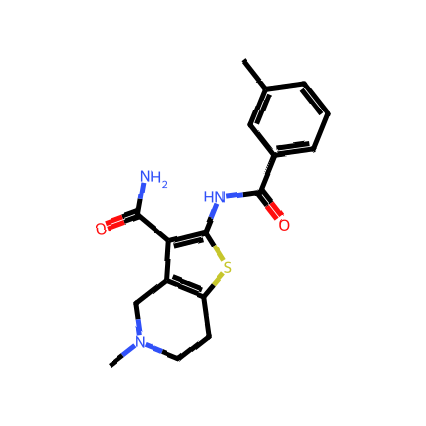 Cc1cccc(C(=O)Nc2sc3c(c2C(N)=O)CN(C)CC3)c1